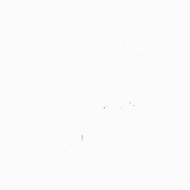 Cc1ccc(S(=O)(=O)OC[C@H](N=[N+]=[N-])[C@H](O)COCc2ccccc2)cc1